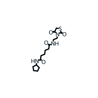 O=C(CCCCC(=O)NC1CCCC1)NCCN1C(=O)CSC1=O